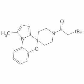 Cc1ccc2n1-c1ccccc1OC21CCN(C(=O)CC(C)(C)C)CC1